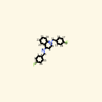 Fc1ccc(CN=c2ccn(Cc3ccc(F)cc3)c3ccccc23)cc1